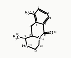 CCc1cccc2c1CC1[C@H](C(F)(F)F)NCCN1C2=O